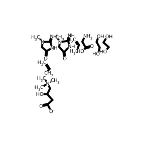 C=CC.C=CC.CN1CC(=O)NC1=N.CN1CC(=O)NC1=N.C[N+](C)(C)CC(O)CC(=O)[O-].NCC(=O)O.OCCO.OCCO